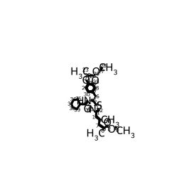 CCOC(=O)/C(C)=C\C(C)=C\c1csc([C@H](Cc2ccc(OC(C)C(=O)OCC)cc2)NC(=O)C2CCCCC2)n1